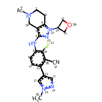 CC(=O)N1CCc2c(c(Nc3ccc(-c4cnn(C)c4)c(C#N)c3F)nn2C2COC2)C1